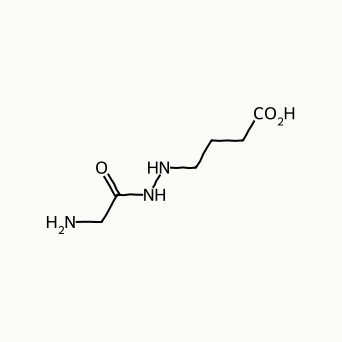 NCC(=O)NNCCCC(=O)O